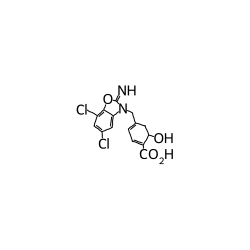 N=c1oc2c(Cl)cc(Cl)cc2n1CC1=CC=C(C(=O)O)C(O)C1